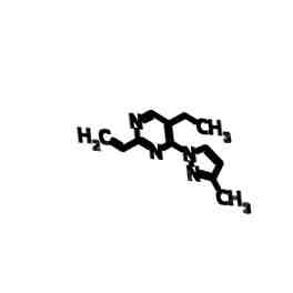 C=Cc1ncc(CC)c(-n2ccc(C)n2)n1